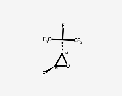 F[C@@H]1O[C@H]1C(F)(C(F)(F)F)C(F)(F)F